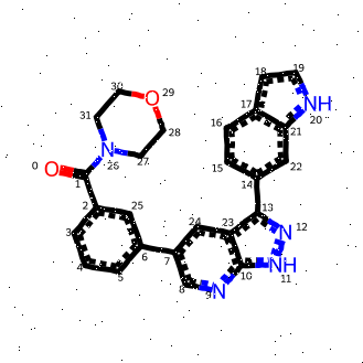 O=C(c1cccc(-c2cnc3[nH]nc(-c4ccc5cc[nH]c5c4)c3c2)c1)N1CCOCC1